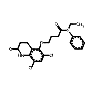 CCN(C(=O)CCCOc1c(Cl)cc(Cl)c2c1CCC(=O)N2)c1ccccc1